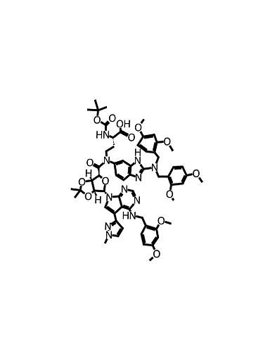 COc1ccc(CNc2ncnc3c2c(-c2ccn(C)n2)cn3[C@@H]2O[C@H](C(=O)N(CC[C@H](NC(=O)OC(C)(C)C)C(=O)O)c3ccc4nc(N(Cc5ccc(OC)cc5OC)Cc5ccc(OC)cc5OC)[nH]c4c3)[C@H]3OC(C)(C)O[C@H]32)c(OC)c1